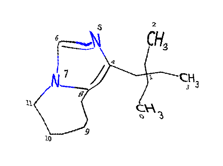 CC(C)(C)c1ncn2c1CCC2